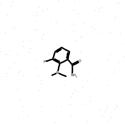 CN(C)c1c(F)cccc1C(N)=O